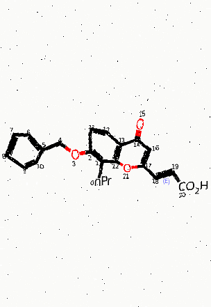 CCCc1c(OCc2ccccc2)ccc2c(=O)cc(/C=C/C(=O)O)oc12